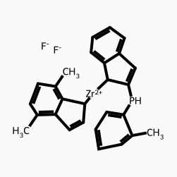 Cc1ccccc1PC1=Cc2ccccc2[CH]1[Zr+2][CH]1C=Cc2c(C)ccc(C)c21.[F-].[F-]